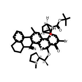 Cc1cc2c(nc(O[C@@H](C)[C@@H]3CCCN3C)c3c(=O)c(Br)cn([C@H]4[C@@H]5C[C@H]4N(C(=O)OC(C)(C)C)C5)c32)c(F)c1-c1cccc2c1C(C#N)CCC2